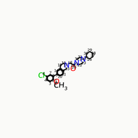 COc1ccc(Cl)cc1-c1ccc2c(c1)CCN(CC(=O)N1CCN(C3CCCCC3)CC1)C2